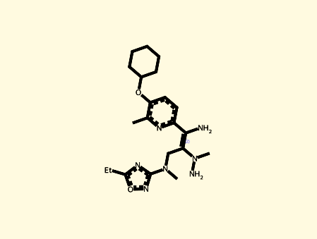 CCc1nc(N(C)C/C(=C(/N)c2ccc(OC3CCCCC3)c(C)n2)N(C)N)no1